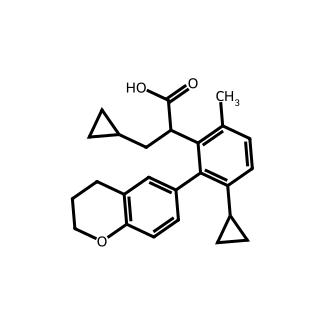 Cc1ccc(C2CC2)c(-c2ccc3c(c2)CCCO3)c1C(CC1CC1)C(=O)O